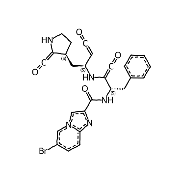 O=C=C[C@H](C[C@@H]1CCNC1=C=O)NC(=C=O)[C@H](Cc1ccccc1)NC(=O)c1cn2cc(Br)ccc2n1